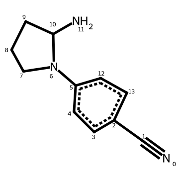 N#Cc1ccc(N2CCCC2N)cc1